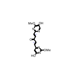 COc1nc(O)cc(/C=C/C(=O)/C=C/c2ncc(O)c(OC)n2)n1